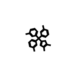 CC1=C(C)CC(C(c2cccc(C)c2)(c2cccc(C)c2)c2cccc(C)c2)=C1